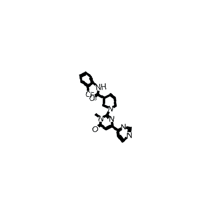 Cn1c(N2CCCC(C(=O)Nc3ccccc3C(F)(F)F)C2)nc(-c2ccncn2)cc1=O